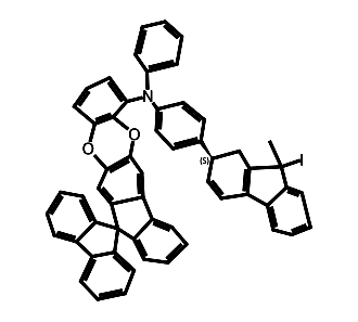 CC1(I)C2=C(C=C[C@@H](c3ccc(N(c4ccccc4)c4cccc5c4Oc4cc6c(cc4O5)C4(c5ccccc5-c5ccccc54)c4ccccc4-6)cc3)C2)c2ccccc21